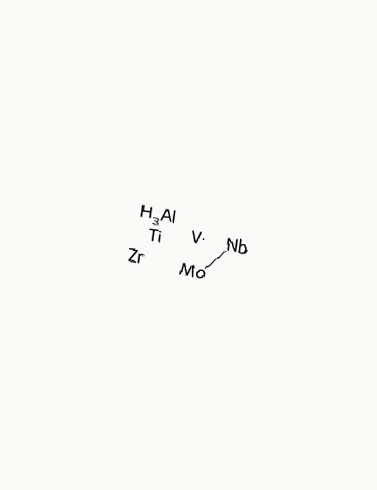 [AlH3].[Nb][Mo].[Ti].[V].[Zr]